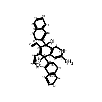 BC1=CC2=C(CN1)C(O)(C1=Cc3ccccc3CC1)C(C=C)=C(/C=C\CC)C2(O)C1=CC2=C(CCC=C2)CC1